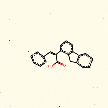 O=C(O)C(=Cc1ccccc1)c1cccc2c1Cc1ccccc1-2